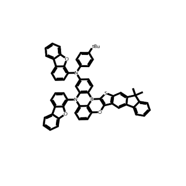 CC(C)(C)c1ccc(N(c2ccc3c(c2)N(c2cccc4c2oc2ccccc24)c2cccc4c2B3c2sc3cc5c(cc3c2O4)-c2ccccc2C5(C)C)c2cccc3c2oc2ccccc23)cc1